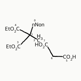 CCCCCCCCCC(C)(C(=O)OCC)C(=O)OCC.O=C(O)CC(=O)O